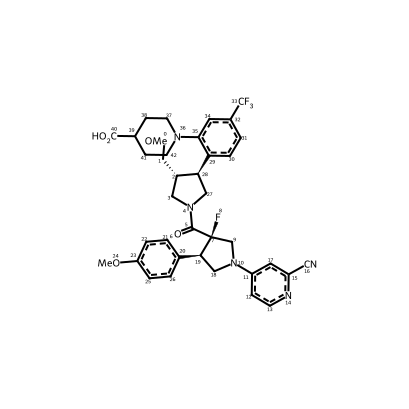 COC[C@H]1CN(C(=O)[C@]2(F)CN(c3ccnc(C#N)c3)C[C@H]2c2ccc(OC)cc2)C[C@@H]1c1ccc(C(F)(F)F)cc1N1CCC(C(=O)O)CC1